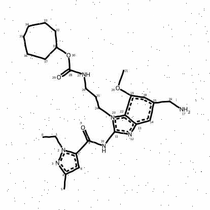 CCn1nc(C)cc1C(=O)Nc1nc2cc(CN)cc(OC)c2n1CCCNC(=O)OC1CCCCCC1